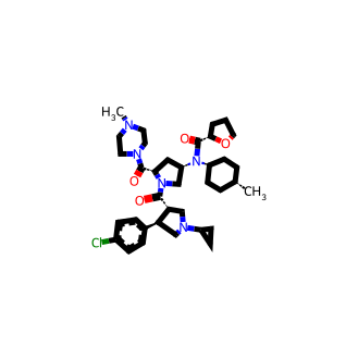 CN1CCN(C(=O)[C@@H]2C[C@H](N(C(=O)[C@@H]3CCCO3)[C@H]3CC[C@@H](C)CC3)CN2C(=O)[C@@H]2CN(C3CC3)C[C@H]2c2ccc(Cl)cc2)CC1